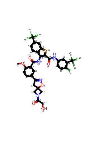 COc1ccc(C2=NOC3(C2)CN(C(=O)CO)C3)cc1C(=O)Nc1c(C(=O)Nc2ccc(F)c(C(F)(F)F)c2)sc2cc(C(F)(F)F)ccc12